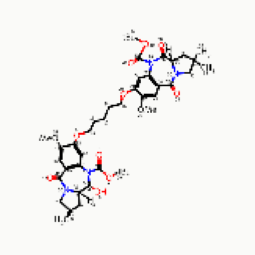 C=C1C[C@H]2[C@H](O)N(C(=O)OC(C)(C)C)c3cc(OCCCCCOc4cc5c(cc4OC)C(=O)N4CC(C)(C)C[C@H]4C(=O)N5C(=O)OC(C)(C)C)c(OC)cc3C(=O)N2C1